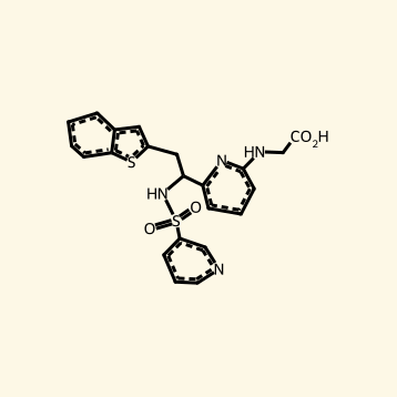 O=C(O)CNc1cccc(C(Cc2cc3ccccc3s2)NS(=O)(=O)c2cccnc2)n1